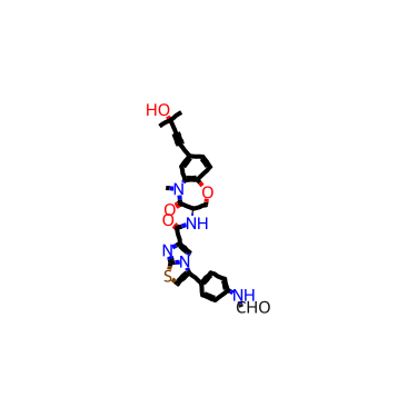 CN1C(=O)[C@@H](NC(=O)c2cn3c(-c4ccc(NC=O)cc4)csc3n2)COc2ccc(C#CC(C)(C)O)cc21